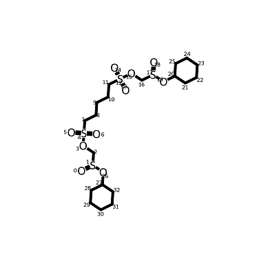 O=S(COS(=O)(=O)CCCCCS(=O)(=O)OCS(=O)OC1CCCCC1)OC1CCCCC1